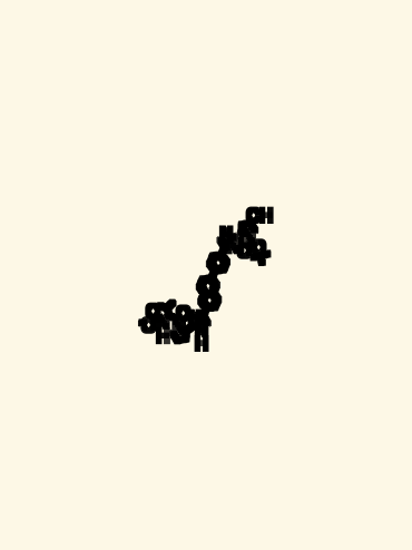 COC(=O)NC(C(=O)N1CCCC1c1nc(-c2ccc3cc(-c4ccc(-c5cnc([C@@H]6C[C@H](O)CN6C(=O)OC(C)(C)C)[nH]5)cc4)ccc3c2)c[nH]1)C(C)C